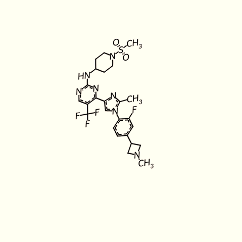 Cc1nc(-c2nc(NC3CCN(S(C)(=O)=O)CC3)ncc2C(F)(F)F)cn1-c1ccc(C2CN(C)C2)cc1F